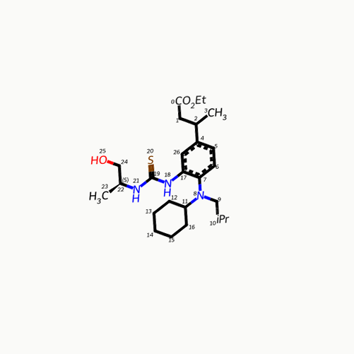 CCOC(=O)CC(C)c1ccc(N(CC(C)C)C2CCCCC2)c(NC(=S)N[C@@H](C)CO)c1